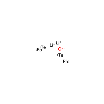 [Li+].[Li+].[O-2].[Pb].[Pb].[Te].[Te]